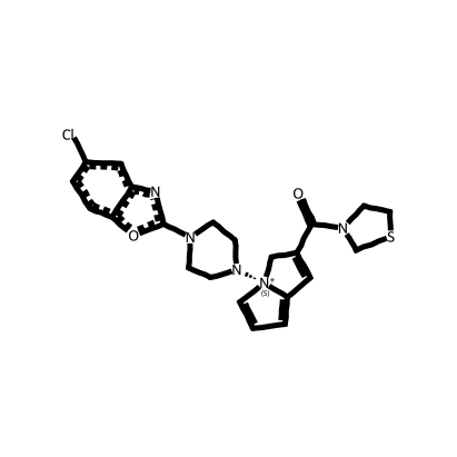 O=C(C1=CC2=CC=C[N@@+]2(N2CCN(c3nc4cc(Cl)ccc4o3)CC2)C1)N1CCSC1